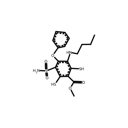 CCCCNc1c(S)c(C(=O)OC)c(S)c(S(N)(=O)=O)c1Oc1ccccc1